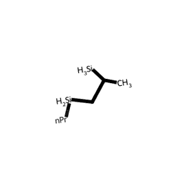 CCC[SiH2]CC(C)[SiH3]